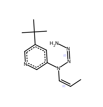 C/C=C\N(/N=N\N)c1cncc(C(C)(C)C)c1